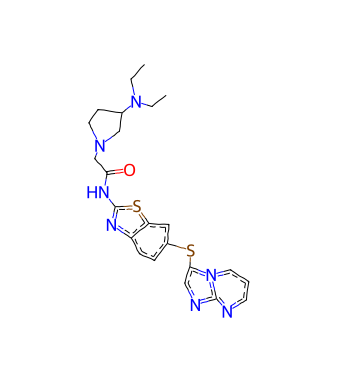 CCN(CC)C1CCN(CC(=O)Nc2nc3ccc(Sc4cnc5ncccn45)cc3s2)C1